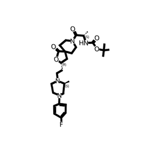 C[C@H](NC(=O)OC(C)(C)C)C(=O)N1CCC2(CC1)C[C@H](CCN1CCN(c3ccc(F)cc3)C[C@@H]1C)OC2=O